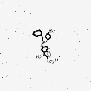 Cc1c(C(=O)O)oc2ccc(SN(CCc3ccccc3)Cc3ccc(C(C)(C)C)cc3)cc12